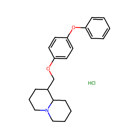 Cl.c1ccc(Oc2ccc(OCC3CCCN4CCCCC34)cc2)cc1